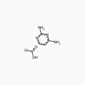 Nc1ccnc(N)n1.O=[N+]([O-])O